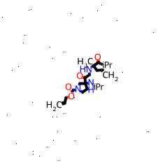 C=CCOC(=O)N1CCC(NC(C)C)(C(=O)CNC(C)(CC=C)C(=O)C(C)C)C1